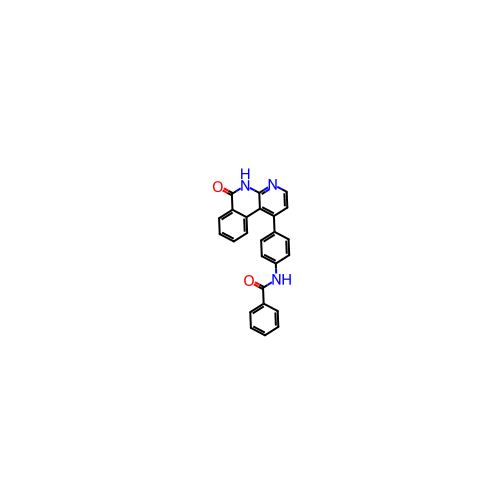 O=C(Nc1ccc(-c2ccnc3[nH]c(=O)c4ccccc4c23)cc1)c1ccccc1